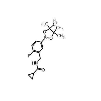 CC1(C)OB(c2ccc(F)c(CNC(=O)C3CC3)c2)OC1(C)C